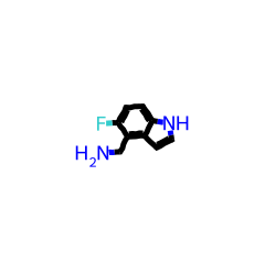 NCc1c(F)ccc2[nH]ccc12